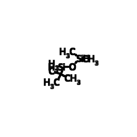 C[SiH](C)O[SiH2]C(C)(C)C